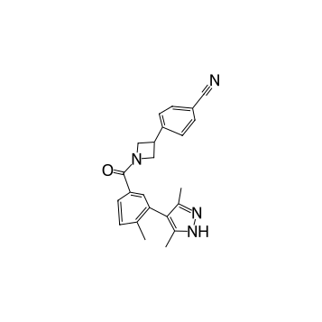 Cc1ccc(C(=O)N2CC(c3ccc(C#N)cc3)C2)cc1-c1c(C)n[nH]c1C